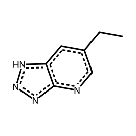 CCc1cnc2nn[nH]c2c1